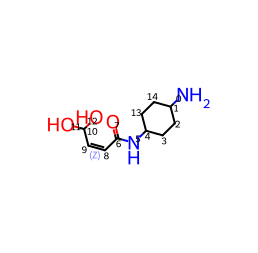 NC1CCC(NC(=O)/C=C\C(O)O)CC1